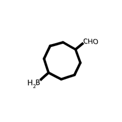 BC1CCCC(C=O)CCC1